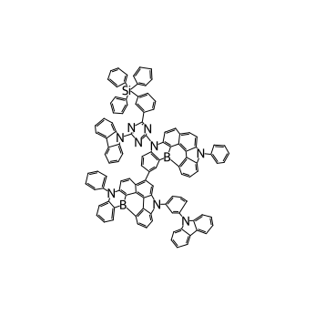 c1ccc(N2c3ccccc3B3c4c2ccc2c(-c5ccc6c(c5)B5c7c(ccc8ccc9c(c78)c7c5cccc7n9-c5ccccc5)N6c5nc(-c6cccc([Si](c7ccccc7)(c7ccccc7)c7ccccc7)c6)nc(-n6c7ccccc7c7ccccc76)n5)cc5c(c42)c2c3cccc2n5-c2cccc(-n3c4ccccc4c4ccccc43)c2)cc1